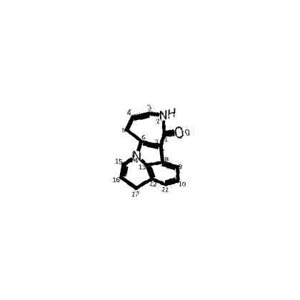 O=C1NC=CCc2c1c1cccc3c1n2C=CC3